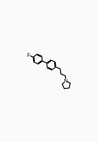 Fc1ccc(-c2ccc(CCCN3CCCC3)cc2)cc1